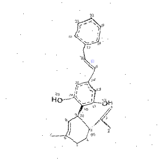 C=C(C)[C@@H]1CCC(C)=C[C@H]1c1c(O)cc(/C=C/c2ccccc2)cc1O